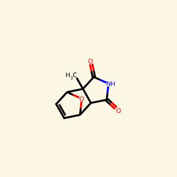 CC12C(=O)NC(=O)C1C1C=CC2O1